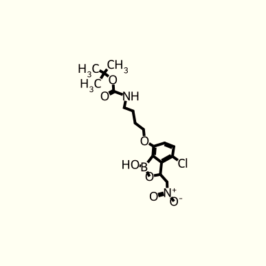 CC(C)(C)OC(=O)NCCCCOc1ccc(Cl)c2c1B(O)OC2C[N+](=O)[O-]